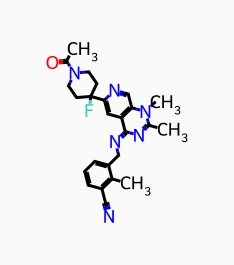 CC(=O)N1CCC(F)(c2cc3/c(=N/Cc4cccc(C#N)c4C)nc(C)n(C)c3cn2)CC1